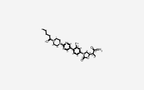 CCCCC(=O)N1CCN(c2ncc(-c3ccc(N4CC(C(C)C(N)=O)OC4=O)cc3F)cn2)CC1